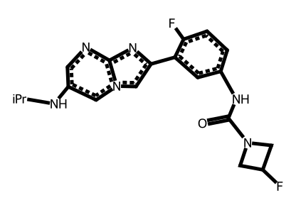 CC(C)Nc1cnc2nc(-c3cc(NC(=O)N4CC(F)C4)ccc3F)cn2c1